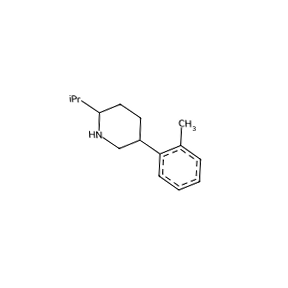 Cc1ccccc1C1CCC(C(C)C)NC1